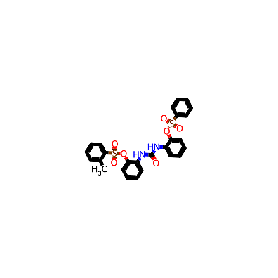 Cc1ccccc1S(=O)(=O)Oc1ccccc1NC(=O)Nc1ccccc1OS(=O)(=O)c1ccccc1